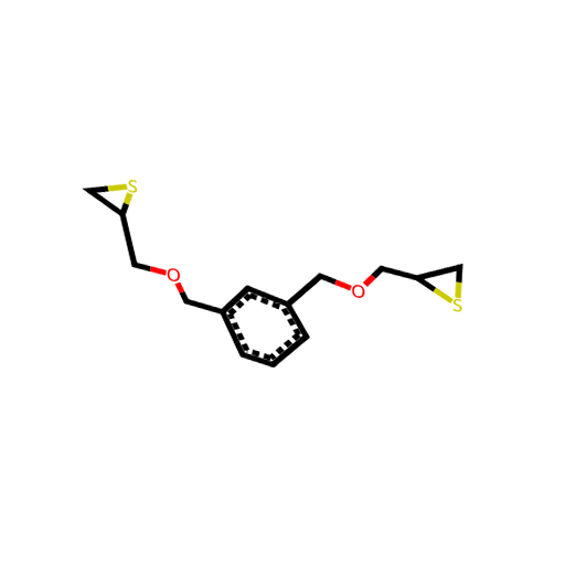 c1cc(COCC2CS2)cc(COCC2CS2)c1